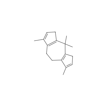 CC1=CCC2=C1CCC1=C(CC=C1C)C2(C)C